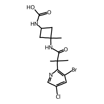 CC1(NC(=O)C(C)(C)c2ncc(Cl)cc2Br)CC(NC(=O)O)C1